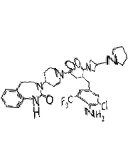 Nc1c(Cl)cc(C[C@@H](CC(=O)N2CCC(N3CCc4ccccc4NC3=O)CC2)C(=O)N2CC(N3CCCC3)C2)cc1C(F)(F)F